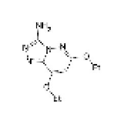 CCOc1cc(OCC)c2nnc(N)n2n1